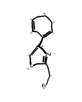 BrCc1nc(C2=CCCC=C2)cs1